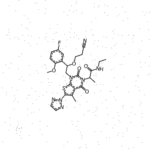 CCNC(=O)C(C)n1c(=O)c2c(C)c(-n3nccn3)sc2n(CC(OCCC#N)c2cc(F)ccc2OC)c1=O